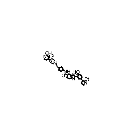 C=C/C=C(\C=C/N)N1CCN(CCc2ccc(NC(=O)c3ccc4nc(-c5cc(-c6cccnc6CC)ccc5O)[nH]c4c3)cc2)CC1